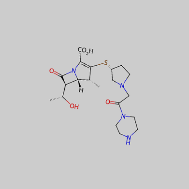 C[C@@H](O)[C@H]1C(=O)N2C(C(=O)O)=C(S[C@@H]3CCN(CC(=O)N4CCNCC4)C3)[C@H](C)[C@H]12